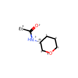 CCC(=O)N[C@@H]1CCCOC1